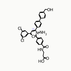 C=C(/C=C(/c1ccc(-c2ccc(CO)cc2)cc1)N(N)Cc1ccc(C(=O)NCCC(=O)O)cc1)c1cc(Cl)cc(Cl)c1